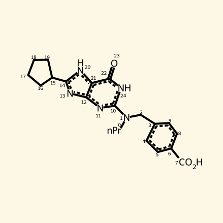 CCCN(Cc1ccc(C(=O)O)cc1)c1nc2nc(C3CCCC3)[nH]c2c(=O)[nH]1